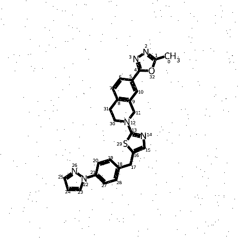 Cc1nnc(-c2ccc3c(c2)CN(c2ncc(Cc4ccc(-n5cccn5)cc4)s2)CC3)o1